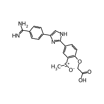 C[S+]([O-])c1cc(-c2nc(-c3ccc(C(=N)N)cc3)c[nH]2)ccc1OCC(=O)O